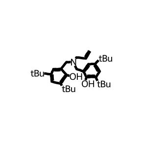 C=CCN(Cc1cc(C(C)(C)C)cc(C(C)(C)C)c1O)Cc1cc(C(C)(C)C)cc(C(C)(C)C)c1O